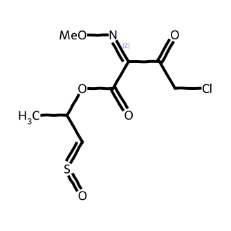 CO/N=C(/C(=O)CCl)C(=O)OC(C)C=S=O